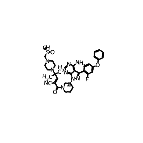 CC(C)(C=C(C#N)C(=O)N1CCC[C@@H](n2nc(-c3ccc(Oc4ccccc4)cc3F)c3c(N)ncnc32)C1)N1CCN(C[SH](=O)=O)CC1